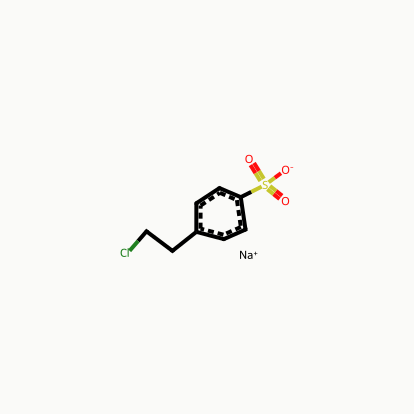 O=S(=O)([O-])c1ccc(CCCl)cc1.[Na+]